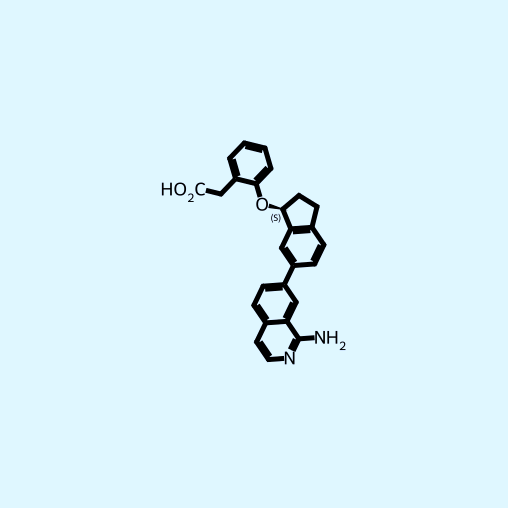 Nc1nccc2ccc(-c3ccc4c(c3)[C@@H](Oc3ccccc3CC(=O)O)CC4)cc12